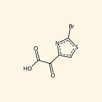 O=C(O)C(=O)c1csc(Br)n1